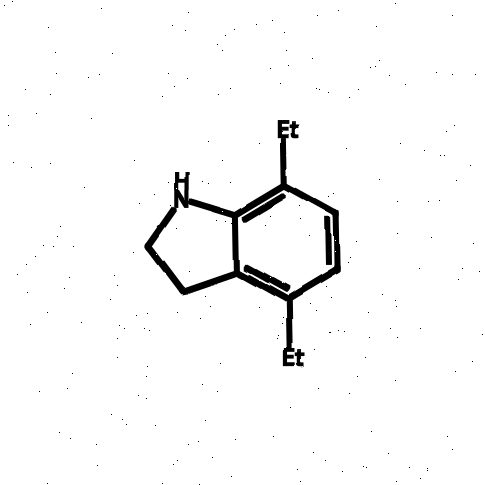 CCc1ccc(CC)c2c1CCN2